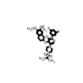 COc1cc2c(cc1OC)CC(Oc1c(N3CCN(S(=O)(=O)C(C)C)CC3)cnn(-c3cc(F)cc(F)c3)c1=O)CC2